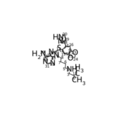 CC(C)CNCCCCn1c(Sc2cc3c(cc2-c2cc[nH]n2)OCO3)nc2c(N)ncnc21